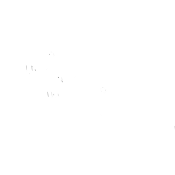 CC(c1ccc(-c2ccc(F)cc2)o1)N(O)C(N)=O